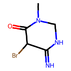 CN1CNC(=N)C(Br)C1=O